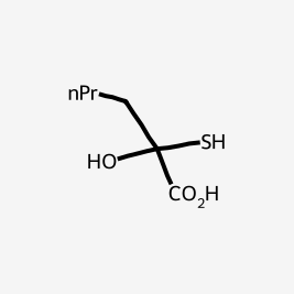 CCCCC(O)(S)C(=O)O